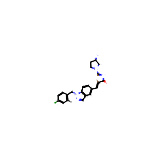 NC1CCN(C2=NC(=O)/C(=C/c3ccc4c(cnn4Cc4ccc(Cl)cc4C(F)(F)F)c3)S2)C1